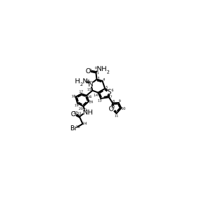 NC(=O)C1=Cc2sc(-c3ccco3)cc2C(c2cccc(NC(=O)CBr)c2)N1N